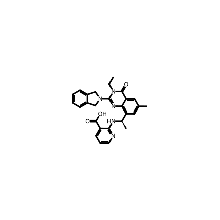 CCn1c(N2Cc3ccccc3C2)nc2c([C@@H](C)Nc3ncccc3C(=O)O)cc(C)cc2c1=O